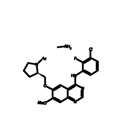 CN.COc1cc2ncnc(Nc3cccc(Cl)c3F)c2cc1OC[C@@H]1CCCN1C(C)=O